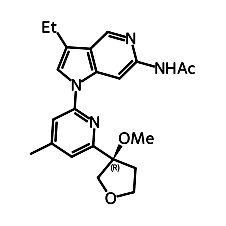 CCc1cn(-c2cc(C)cc([C@]3(OC)CCOC3)n2)c2cc(NC(C)=O)ncc12